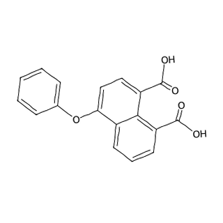 O=C(O)c1cccc2c(Oc3ccccc3)ccc(C(=O)O)c12